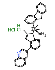 CC1=Cc2c(-c3cnc4ccccc4c3)cccc2[CH]1[Zr]([CH3])([CH3])(=[SiH2])[c]1cccc2c1Cc1ccccc1-2.Cl.Cl